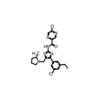 C[C@@H]1CCCN1Cc1sc(NC(=O)c2cnc(Cl)cn2)nc1-c1cc(Cl)cc(CF)c1